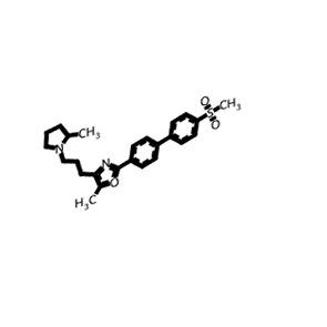 Cc1oc(-c2ccc(-c3ccc(S(C)(=O)=O)cc3)cc2)nc1CCCN1CCCC1C